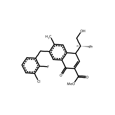 COC(=O)C1=CC([C@H](CO)C(C)C)c2cc(C)c(Cc3cccc(Cl)c3F)cc2C1=O